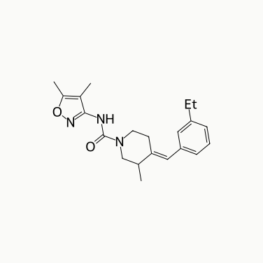 CCc1cccc(C=C2CCN(C(=O)Nc3noc(C)c3C)CC2C)c1